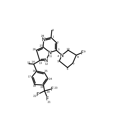 Cc1cc(N2CCCC(F)C2)n2nc(C(C)c3ccc(C(F)(F)F)cc3)cc2n1